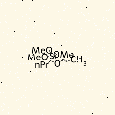 CC=COC(CCC)[Si](OC)(OC)OC